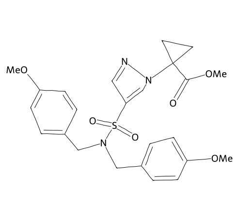 COC(=O)C1(n2cc(S(=O)(=O)N(Cc3ccc(OC)cc3)Cc3ccc(OC)cc3)cn2)CC1